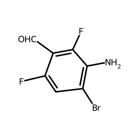 Nc1c(Br)cc(F)c(C=O)c1F